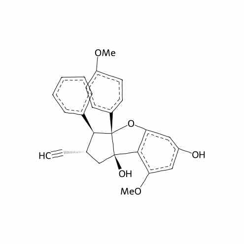 C#C[C@H]1C[C@@]2(O)c3c(OC)cc(O)cc3O[C@@]2(c2ccc(OC)cc2)[C@@H]1c1ccccc1